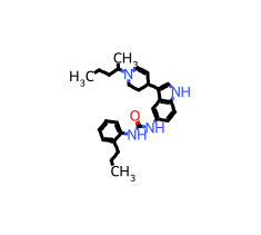 CCCc1ccccc1NC(=O)Nc1ccc2[nH]cc(C3C=CN(C(C)CCC)CC3)c2c1